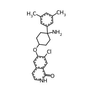 Cc1cc(C)cc(C2(N)CCC(Oc3cc4cc[nH]c(=O)c4cc3Cl)CC2)c1